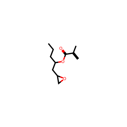 C=C(C)C(=O)OC(CCC)CC1CO1